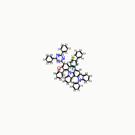 FC(F)(F)c1cc(-c2nc(-c3ccccc3)nc(-c3ccccc3)n2)c2oc3ccccc3c2c1-n1c2ccccc2c2c1c(-c1ccc3sc4ccccc4c3c1)cc1c3ccccc3n(-c3ccccc3)c12